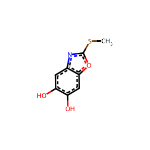 CSc1nc2cc(O)c(O)cc2o1